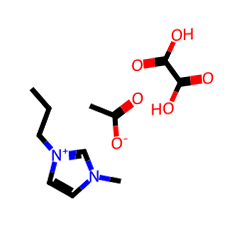 CC(=O)[O-].CCC[n+]1ccn(C)c1.O=C(O)C(=O)O